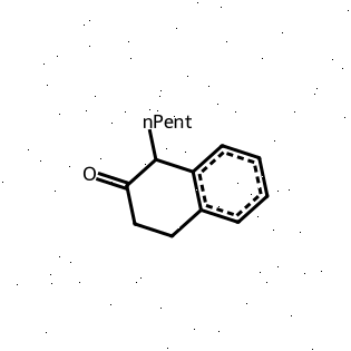 CCCCCC1C(=O)CCc2ccccc21